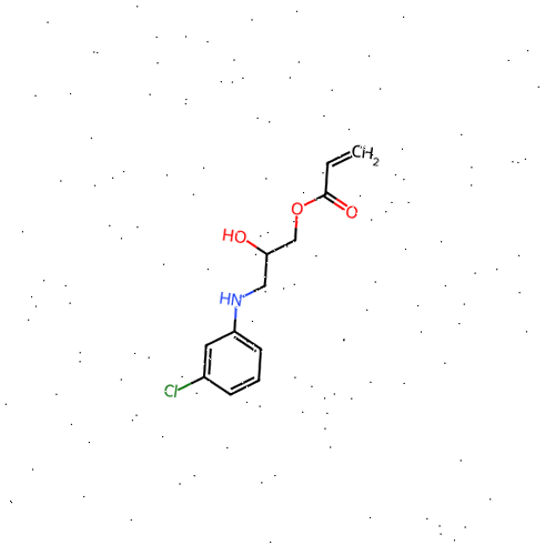 C=CC(=O)OCC(O)CNc1cccc(Cl)c1